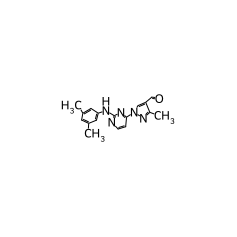 Cc1cc(C)cc(Nc2nccc(-n3cc(C=O)c(C)n3)n2)c1